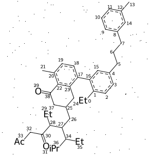 CCc1ccc(CCCc2cccc(C)c2)cc1-c1ccc(C)c2c1CC(CC(C(CC)C(=O)CC(C)=O)C(CC)C(C)C)CC2=O